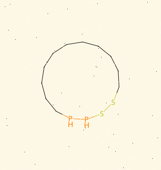 C1CCCCCPPSSCCCCC1